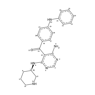 Nc1ncnc(N[C@@H]2CCCNC2)c1C(=O)c1ccc(Nc2ccccc2)cc1